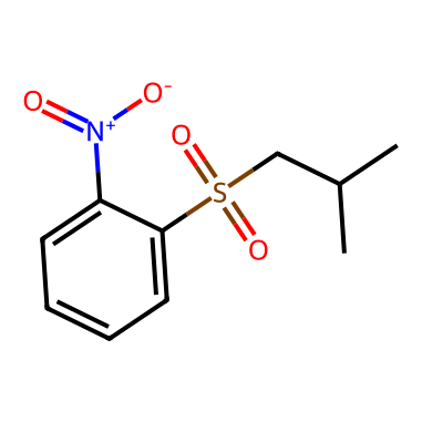 CC(C)CS(=O)(=O)c1ccccc1[N+](=O)[O-]